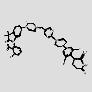 C[C@@H]1CN(Cc2cnc(N3CCC(c4cc(F)c(C5CCC(=O)NC5=O)c(F)c4)CC3)nc2)CCN1c1ccc2c(c1)-n1c(nc(=O)c3c(Cl)cccc31)C2(C)C